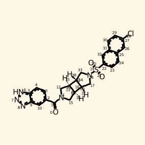 O=C(c1ccc2[nH]nnc2c1)N1C[C@@H]2[C@H](C1)[C@H]1CN(S(=O)(=O)c3ccc4cc(Cl)ccc4c3)C[C@@H]21